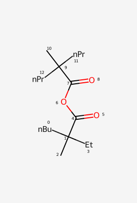 CCCCC(C)(CC)C(=O)OC(=O)C(C)(CCC)CCC